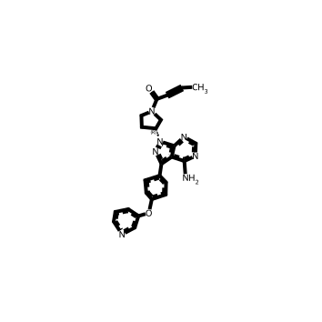 CC#CC(=O)N1CC[C@@H](n2nc(-c3ccc(Oc4cccnc4)cc3)c3c(N)ncnc32)C1